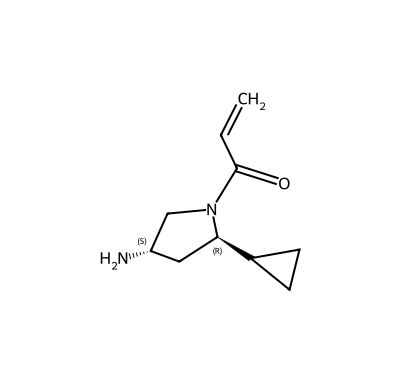 C=CC(=O)N1C[C@@H](N)C[C@@H]1C1CC1